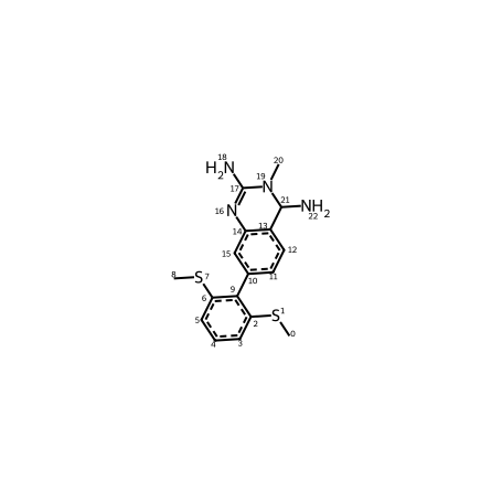 CSc1cccc(SC)c1-c1ccc2c(c1)N=C(N)N(C)C2N